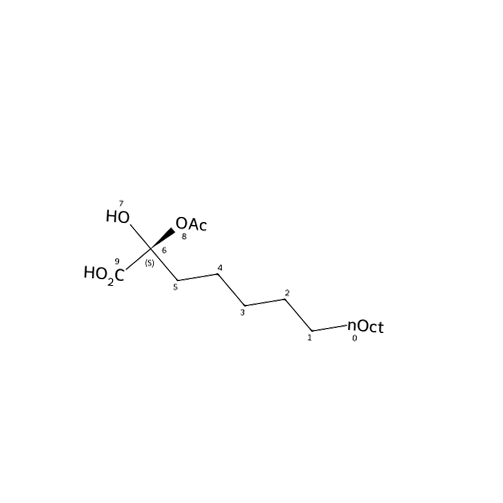 CCCCCCCCCCCCC[C@](O)(OC(C)=O)C(=O)O